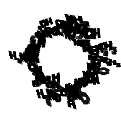 CCCC[C@H]1C(=O)N(C)[C@@H](CCCC)C(=O)N[C@@H](CCC(=O)O)C(=O)N[C@H](C(=O)NCC(N)=O)CSCC(=O)N[C@@H](Cc2ccc(O)cc2)C(=O)N2CCCC[C@H]2C(=O)N[C@@H](CC(N)=O)C(=O)N2CCC[C@H]2C(=O)N[C@@H](Cc2cnc[nH]2)C(=O)N[C@@H](CCC(N)=O)C(=O)N2C[C@H](O)C[C@H]2C(=O)N[C@@H](Cc2c[nH]c3ccccc23)C(=O)N[C@@H](CO)C(=O)N[C@@H](Cc2c[nH]c3ccccc23)C(=O)N1C